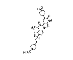 C[C@@H](Nc1ncnc2[nH]c(=O)c(C3CCS(=O)(=O)CC3)cc12)c1cccc(C(F)(F)CCC2CCN(C(=O)O)CC2)c1F